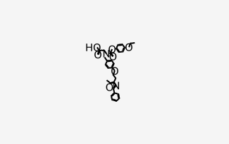 CCOc1ccc(OC(=O)N(CC(=O)O)Cc2ccc(OCCc3nc(-c4ccccc4)oc3C)cc2)cc1